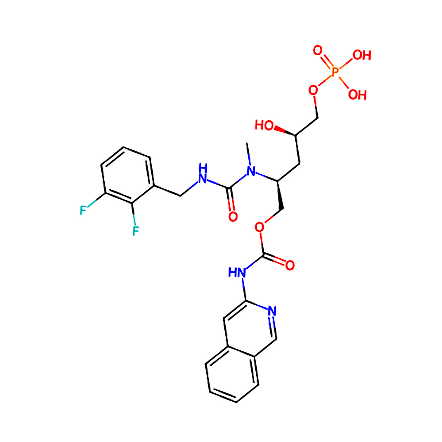 CN(C(=O)NCc1cccc(F)c1F)[C@H](COC(=O)Nc1cc2ccccc2cn1)C[C@@H](O)COP(=O)(O)O